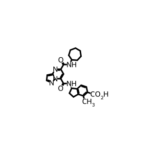 Cc1c(C(=O)O)ccc2c1CC[C@@H]2NC(=O)c1cc(C(=O)NC2CCCCCC2)nc2ccnn12